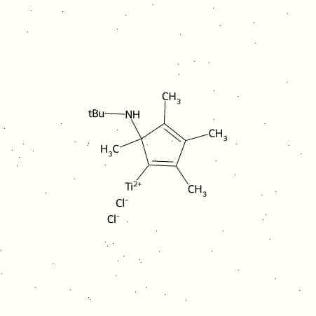 CC1=C(C)C(C)(NC(C)(C)C)[C]([Ti+2])=C1C.[Cl-].[Cl-]